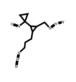 [N-]=[N+]=NCCCC1C(CN=[N+]=[N-])C1C1(N=O)CC1